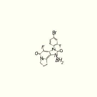 Bn1c(=O)n(-c2ccc(Br)cc2F)c2c(F)c(=O)n3c(c21)CCC3